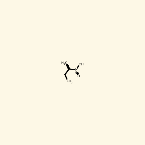 C=C(CC)[PH](=O)O